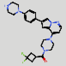 O=C(C1CC(F)(F)C1)N1CCN(c2ccnn3cc(-c4ccc(N5CCNCC5)cc4)cc23)CC1